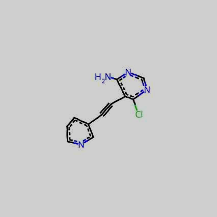 Nc1ncnc(Cl)c1C#Cc1cccnc1